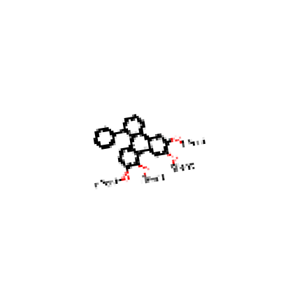 CCCCCOc1cc2c3cccc(-c4ccccc4)c3c3ccc(OCCCCC)c(OCCCCC)c3c2cc1OCCCCC